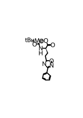 COC(=O)[C@@H](CCc1nc(-c2ccccc2)no1)NC(=O)OC(C)(C)C